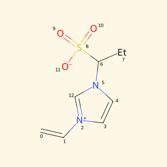 C=C[n+]1ccn(C(CC)S(=O)(=O)[O-])c1